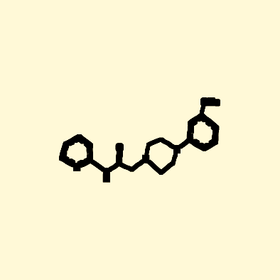 COc1cccc(N2CCN(CC(=O)Nc3ccccn3)CC2)c1